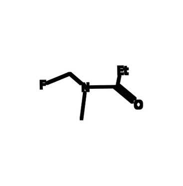 CCC(=O)N(C)CF